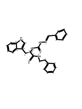 O=C(NN=Cc1ccccc1)N[C@H](Cc1c[nH]c2ccccc12)C(=O)NCCc1ccccc1